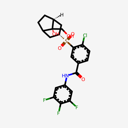 O=C(Nc1cc(F)c(F)c(F)c1)c1ccc(Cl)c(S(=O)(=O)[C@@H]2CC3CC[C@@H](C2)[C@@]3(O)CO)c1